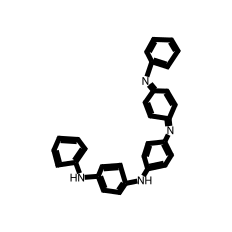 C1=CC(=Nc2ccc(Nc3ccc(Nc4ccccc4)cc3)cc2)C=CC1=Nc1ccccc1